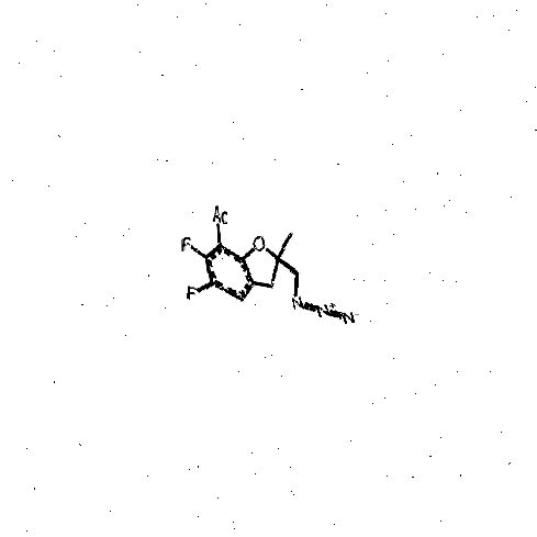 CC(=O)c1c(F)c(F)cc2c1OC(C)(CN=[N+]=[N-])C2